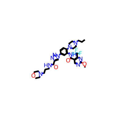 CCCN1CCN(c2ccc(-n3cc(C(=O)NCCCN4CCOCC4)nn3)cc2NC(=O)c2cnc(OC)nc2C(F)(F)F)CC1